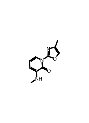 CNc1cccn(-c2nc(C)co2)c1=O